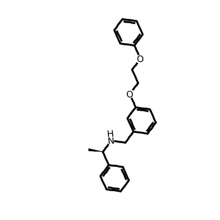 C[C@@H](NCc1cccc(OCCOc2ccccc2)c1)c1ccccc1